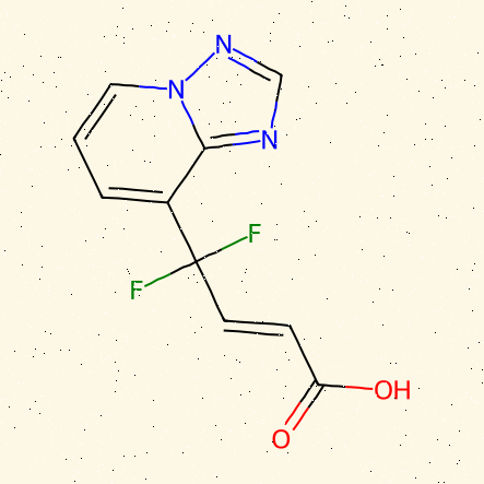 O=C(O)/C=C/C(F)(F)c1cccn2ncnc12